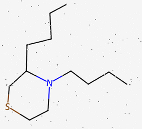 [CH2]CCCN1CCSCC1CCCC